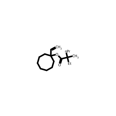 C=CC1(OC(=O)C(C)(CC)CCC)CCCCCCC1